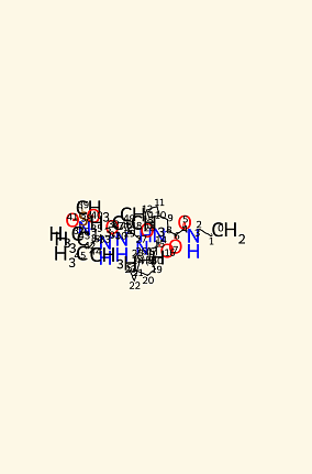 C=CCNC(=O)C(=O)C(CC1CCC1)NC(=O)[C@@H]1[C@H]2CCC3(CC3)[C@H]2CN1C(=O)[C@@H](NC(=O)N[C@H](CN(C)S(C)(=O)=O)C(C)(C)C)C(C)(C)C